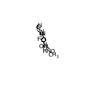 CC(=O)NCC1CN(c2ccc(-n3cc(Cn4ccnc4)nn3)c(F)c2)C(=O)O1